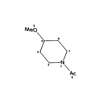 [CH2]C(=O)N1CCC(OC)CC1